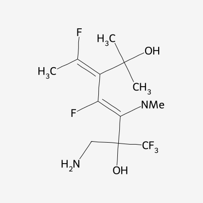 CN/C(=C(F)\C(=C(/C)F)C(C)(C)O)C(O)(CN)C(F)(F)F